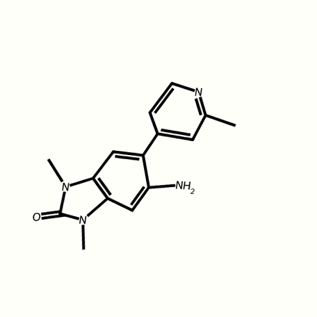 Cc1cc(-c2cc3c(cc2N)n(C)c(=O)n3C)ccn1